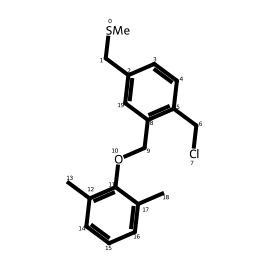 CSCc1ccc(CCl)c(COc2c(C)cccc2C)c1